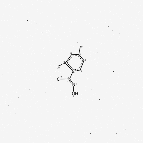 Cc1ccc(C(Cl)=NO)c(C)c1